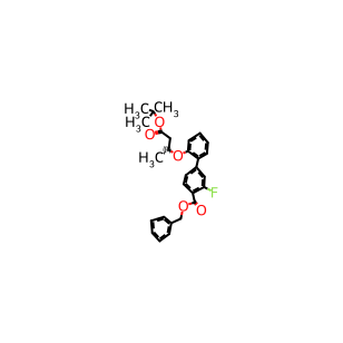 C[C@H](CC(=O)OC(C)(C)C)Oc1ccccc1-c1ccc(C(=O)OCc2ccccc2)c(F)c1